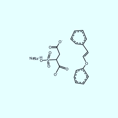 C(=Cc1ccccc1)Oc1ccccc1.O=C([O-])CC(C(=O)[O-])S(=O)(=O)O.[Na+].[Na+]